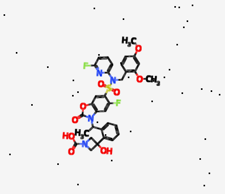 COc1ccc(CN(c2cccc(F)n2)S(=O)(=O)c2cc3oc(=O)n(C(C)c4ccccc4C4(O)CN(C(=O)O)C4)c3cc2F)c(OC)c1